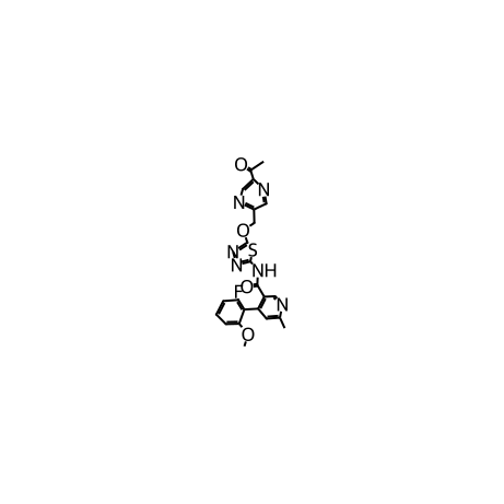 COc1cccc(F)c1-c1cc(C)ncc1C(=O)Nc1nnc(OCc2cnc(C(C)=O)cn2)s1